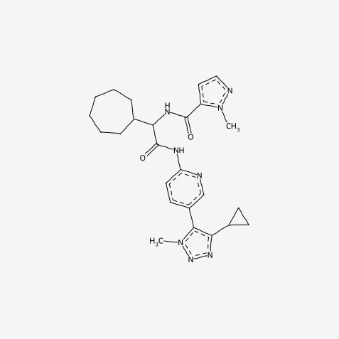 Cn1nccc1C(=O)NC(C(=O)Nc1ccc(-c2c(C3CC3)nnn2C)cn1)C1CCCCCC1